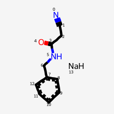 N#CCC(=O)NCc1ccccc1.[NaH]